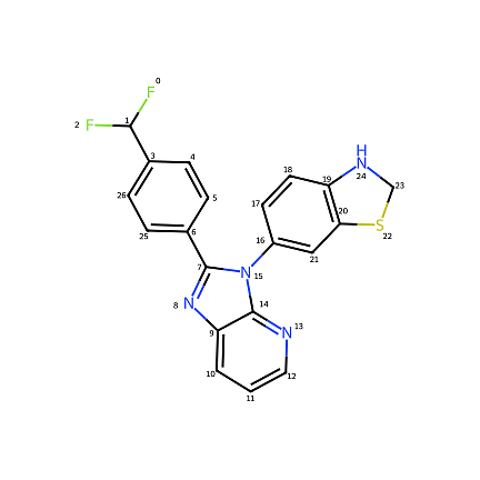 FC(F)c1ccc(-c2nc3cccnc3n2-c2ccc3c(c2)SCN3)cc1